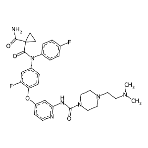 CN(C)CCN1CCN(C(=O)Nc2cc(Oc3ccc(N(C(=O)C4(C(N)=O)CC4)c4ccc(F)cc4)cc3F)ccn2)CC1